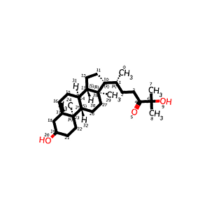 C[C@H](CCC(=O)C(C)(C)O)[C@H]1CC[C@H]2[C@@H]3CC=C4CC(O)CC[C@]4(C)[C@H]3CC[C@]12C